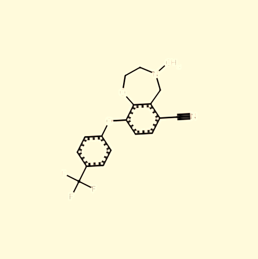 CN1CCOc2c(Oc3ccc(C(F)(F)F)cc3)ccc(C#N)c2C1